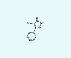 BrC1=C(c2ccccc2)N=[N+]N1